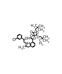 C[C@H](Cc1cccc(C2=COC(C(=O)OCC(C)(C)C)(C(=O)OCC(C)(C)C)O2)c1)NC[C@@H](O)c1cccc(Cl)c1